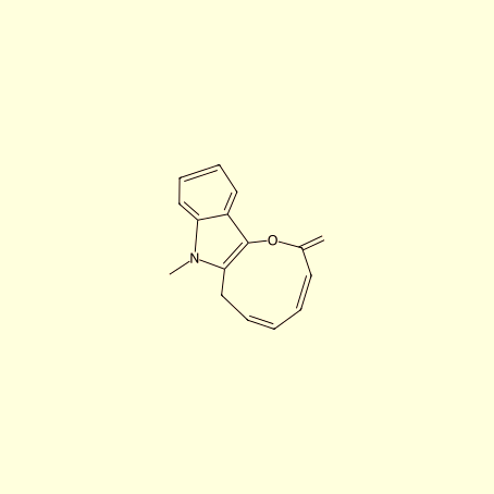 C=C1/C=C\C=C/Cc2c(c3ccccc3n2C)O1